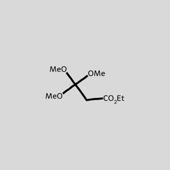 CCOC(=O)CC(OC)(OC)OC